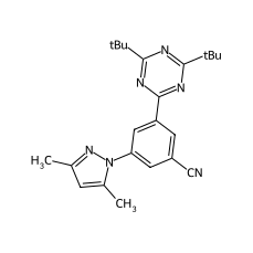 Cc1cc(C)n(-c2cc(C#N)cc(-c3nc(C(C)(C)C)nc(C(C)(C)C)n3)c2)n1